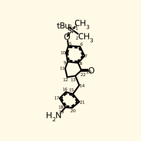 CC(C)(C)[Si](C)(C)Oc1ccc2c(c1)CCC(Cc1ccc(N)cc1)C2=O